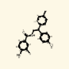 Cc1ccc(C(CNC(=O)c2ccc(C#N)c(C)c2)c2ccc(Cl)cc2)nc1